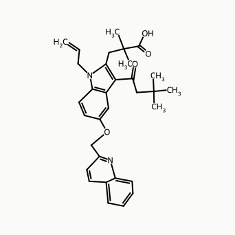 C=CCn1c(CC(C)(C)C(=O)O)c(C(=O)CC(C)(C)C)c2cc(OCc3ccc4ccccc4n3)ccc21